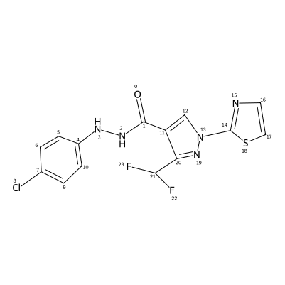 O=C(NNc1ccc(Cl)cc1)c1cn(-c2nccs2)nc1C(F)F